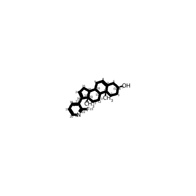 C[C@]12CC[C@H](O)CC1=CCC1C2CC[C@]2(C)C(c3cccnc3F)=CCC12